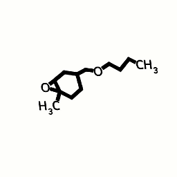 CCCCOCC1CCC2(C)OC2C1